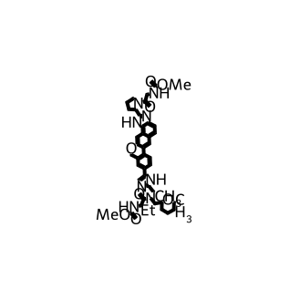 CC[C@@H](N(Cc1ncc(-c2ccc3c(c2)COc2cc4c(ccc5nc(C6CCCN6C(=O)CNC(=O)OC)[nH]c54)cc2-3)[nH]1)C(=O)CNC(=O)OC)C1(C)CCC[C@@H](C)O1